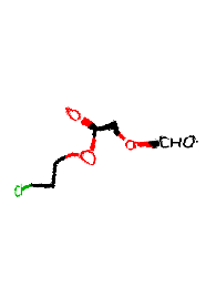 O=[C]OCC(=O)OCCCl